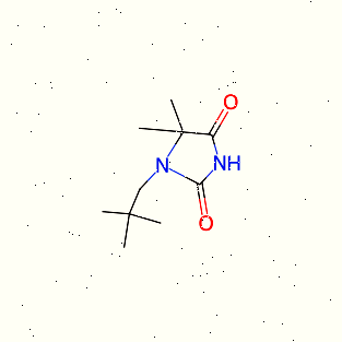 CC(C)(C)CN1C(=O)NC(=O)C1(C)C